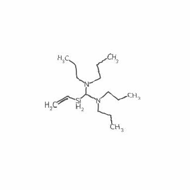 C=C[SiH2]C(N(CCC)CCC)N(CCC)CCC